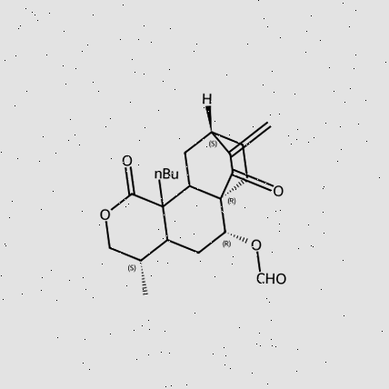 C=C1C(=O)[C@]23CC[C@H]1CC2C1(CCCC)C(=O)OC[C@@H](C)C1C[C@H]3OC=O